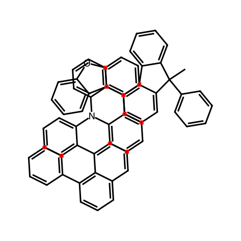 CC1(c2ccccc2)c2ccccc2-c2c(-c3ccccc3N(c3ccccc3-c3cccc4cccc(-c5ccccc5)c34)c3ccccc3-c3cccc4oc5ccccc5c34)cccc21